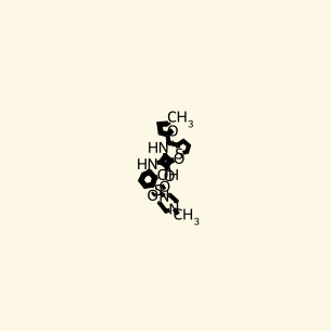 Cc1ccc([C@H](Nc2c(Nc3cccc(S(=O)(=O)N4CCN(C)CC4)c3O)c(=O)c2=O)C2CCCS2)o1